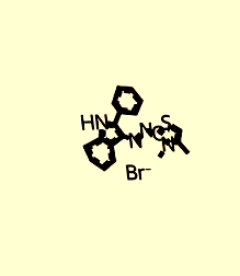 Cc1cs[c+](N=Nc2c(-c3ccccc3)[nH]c3ccccc23)n1C.[Br-]